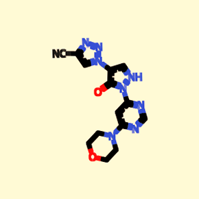 N#Cc1cn(-c2c[nH]n(-c3cc(N4CCOCC4)ncn3)c2=O)nn1